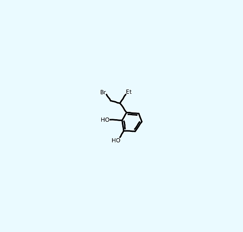 CCC(CBr)c1cccc(O)c1O